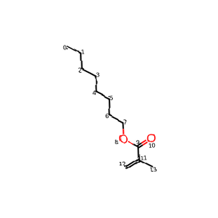 [CH2]CCCC[CH]CCOC(=O)C(=C)C